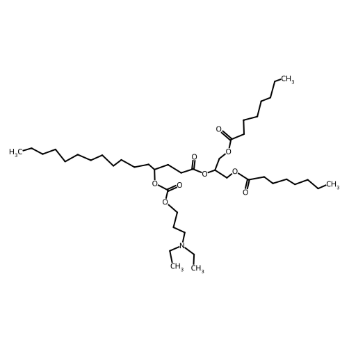 CCCCCCCCCCCCC(CCC(=O)OC(COC(=O)CCCCCCC)COC(=O)CCCCCCC)OC(=O)OCCCN(CC)CC